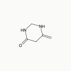 C=C1CC(=O)NCN1